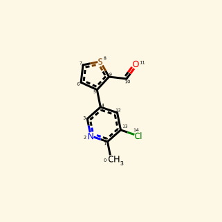 Cc1ncc(-c2ccsc2C=O)cc1Cl